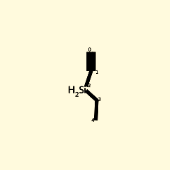 C#C[SiH2]CC